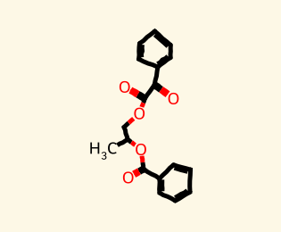 CC(COC(=O)C(=O)c1ccccc1)OC(=O)c1ccccc1